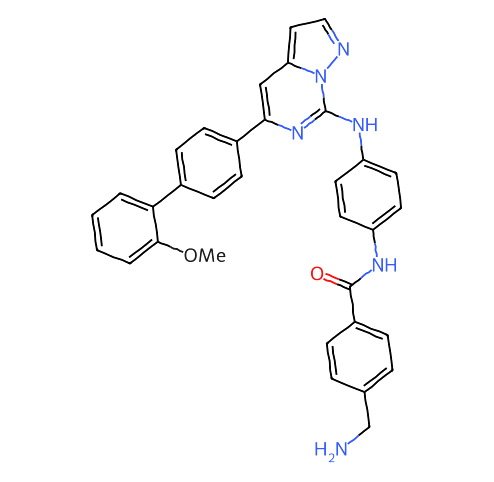 COc1ccccc1-c1ccc(-c2cc3ccnn3c(Nc3ccc(NC(=O)c4ccc(CN)cc4)cc3)n2)cc1